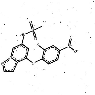 CS(=O)(=O)Nc1cc(Oc2ccc([N+](=O)[O-])cc2F)c2ccnn2c1